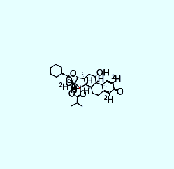 [2H]C1=C[C@@]2(C)C(=C([2H])C1=O)CC[C@@H]1[C@@H]2[C@@H](O)C[C@@]2(C)[C@H]1C[C@H]1O[C@@H](C3CCCCC3)O[C@]12C(=O)C([2H])([2H])OC(=O)C(C)C